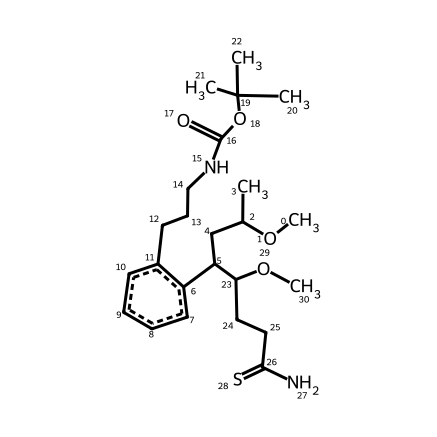 COC(C)CC(c1ccccc1CCCNC(=O)OC(C)(C)C)C(CCC(N)=S)OC